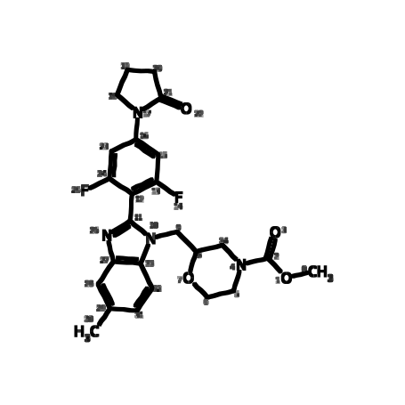 COC(=O)N1CCOC(Cn2c(-c3c(F)cc(N4CCCC4=O)cc3F)nc3cc(C)ccc32)C1